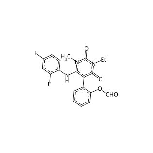 CCn1c(=O)c(-c2ccccc2OC=O)c(Nc2ccc(I)cc2F)n(C)c1=O